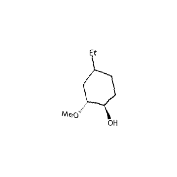 CCC1CC[C@@H](O)[C@H](OC)C1